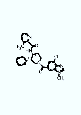 Cn1cnc2c(Cl)cc(C(=O)N3CC[C@@H](NC(=O)c4ncccc4C(F)(F)F)[C@@H](c4ccccc4)C3)cc21